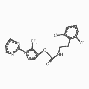 O=C(NCCc1c(Cl)cccc1Cl)Oc1cnn(-c2ncccn2)c1C(F)(F)F